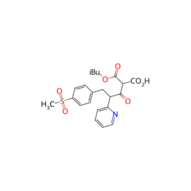 CCC(C)OC(=O)C(C(=O)O)C(=O)C(Cc1ccc(S(C)(=O)=O)cc1)c1ccccn1